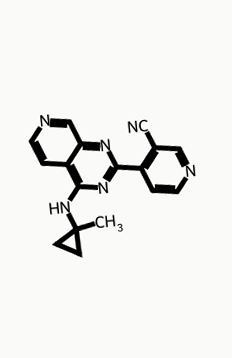 CC1(Nc2nc(-c3ccncc3C#N)nc3cnccc23)CC1